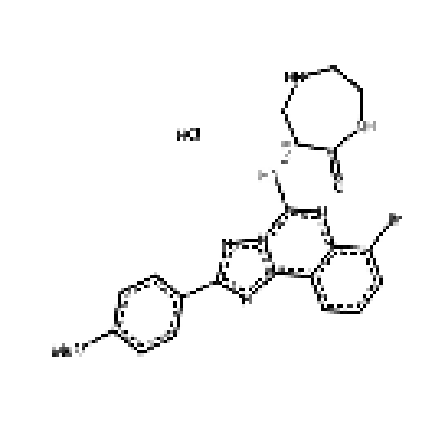 COc1ccc(-c2nc3c4cccc(Br)c4nc(N[C@@H]4CNCCNC4=O)n3n2)cc1.Cl